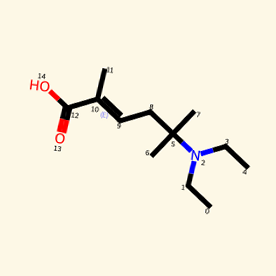 CCN(CC)C(C)(C)C/C=C(\C)C(=O)O